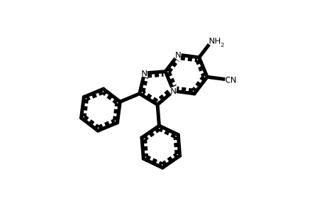 N#Cc1cn2c(-c3ccccc3)c(-c3ccccc3)nc2nc1N